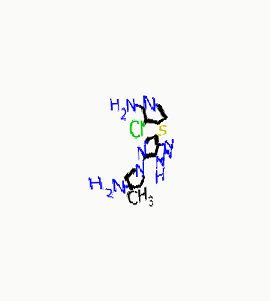 CC1(N)CCN(c2ncc(Sc3ccnc(N)c3Cl)c3nn[nH]c23)CC1